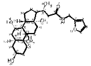 C[C@H](CC(=O)NCc1ccco1)C1CC[C@H]2[C@@H]3[C@@H](O)C[C@@H]4C[C@H](O)CC[C@]4(C)[C@H]3CC[C@]12C